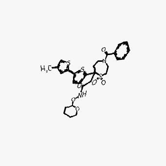 Cc1csc(-c2ccc(C3(CC(=O)NOC4CCCCO4)CCN(C(=O)c4ccccc4)CCS3(=O)=O)s2)c1